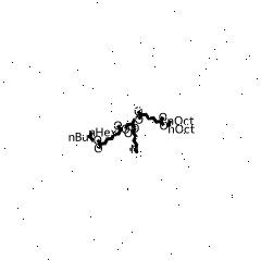 CCCCCCCCC(CCCCCCCC)OC(=O)CCCCC(=O)OCC(COC(=O)CCCCCC(=O)OCC(CCCC)CCCCCC)OC(=O)CCCN(C)C